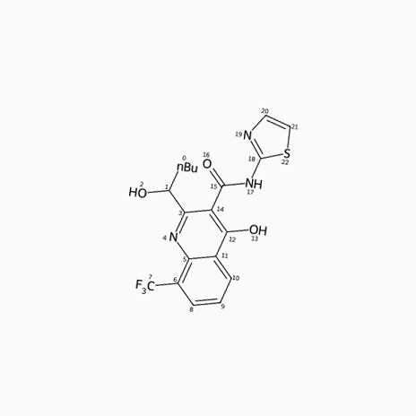 CCCCC(O)c1nc2c(C(F)(F)F)cccc2c(O)c1C(=O)Nc1nccs1